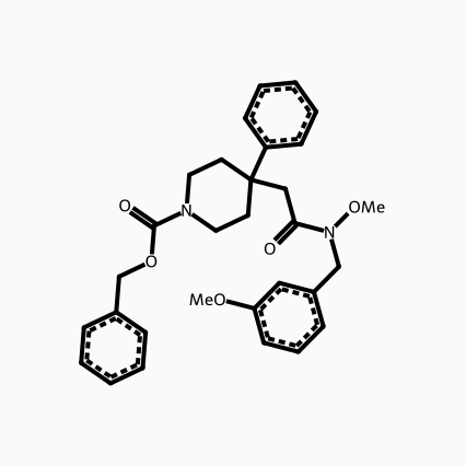 COc1cccc(CN(OC)C(=O)CC2(c3ccccc3)CCN(C(=O)OCc3ccccc3)CC2)c1